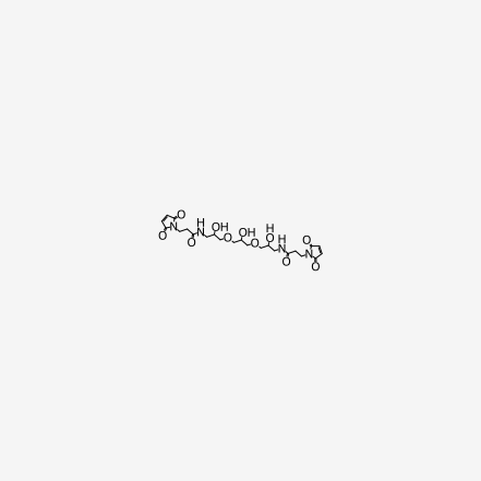 O=C(CCN1C(=O)C=CC1=O)NCC(O)COCC(O)COCC(O)CNC(=O)CCN1C(=O)C=CC1=O